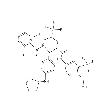 O=C(Nc1ccc(CO)c(C(F)(F)F)c1)[C@H]1C[C@@H](C(F)(F)F)CN(C(=O)c2c(F)cccc2F)[C@H]1c1ccc(NC2CCCC2)cc1